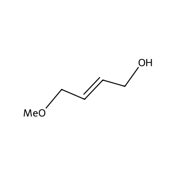 COCC=CCO